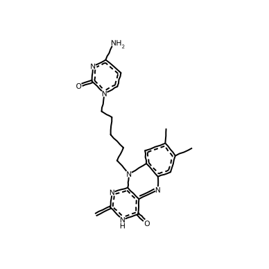 C=c1nc2c(c(=O)[nH]1)=Nc1cc(C)c(C)cc1N2CCCCCn1ccc(N)nc1=O